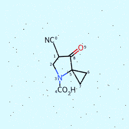 N#CC1CN(C(=O)O)C2(CC2)C1=O